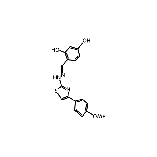 COc1ccc(-c2csc(N/N=C/c3ccc(O)cc3O)n2)cc1